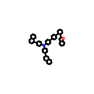 c1ccc(-c2cc3ccccc3o2)c(-c2ccc(-c3ccc(N(c4ccc(-c5ccc6ccccc6c5)cc4)c4ccc(-c5cccc6ccccc56)cc4)cc3)cc2)c1